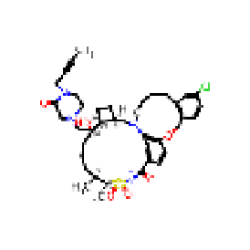 CC#CCN1CCN(C[C@]2(O)CCC[C@H](C)[C@@H](C)S(=O)(=O)NC(=O)c3ccc4c(c3)N(CCCCc3cc(Cl)ccc3CO4)C[C@@H]3CC[C@H]32)CC1=O